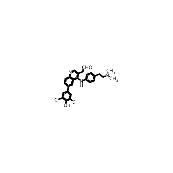 CN(C)CCc1ccc(Nc2c(CC=O)cnc3ccc(-c4cc(Cl)c(O)c(Cl)c4)cc23)cc1